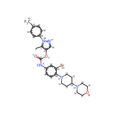 Cc1c(OC(=O)Nc2ccc(N3CCC(N4CCOCC4)CC3)c(Br)c2)cnn1-c1ccc(C(F)(F)F)cc1